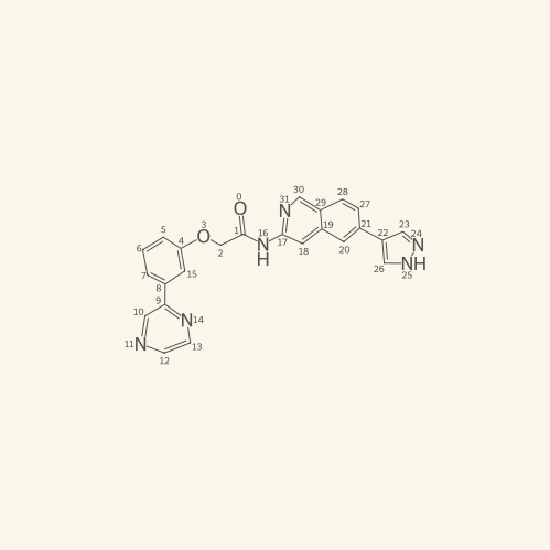 O=C(COc1cccc(-c2cnccn2)c1)Nc1cc2cc(-c3cn[nH]c3)ccc2cn1